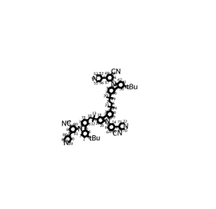 CC(C)(C)c1ccc2c(c1)c1cc(CC(C)(C)c3ccc4c(c3)c3cc(C(C)(C)CCC(C)(C)c5ccc6c(c5)c5cc(C(C)(C)C)ccc5n6-c5cc(C#N)cc(-c6ccncc6)c5)ccc3n4-c3ccc(C#N)c(-c4ccncc4)c3)ccc1n2-c1cc(C#N)cc(-c2ccncc2)c1